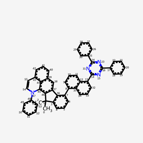 CC1(C)c2cccc(-c3cccc4c(-c5nc(-c6ccccc6)nc(-c6ccccc6)n5)cccc34)c2-c2cc3cccc4c3c(c21)N(c1ccccc1)C=C4